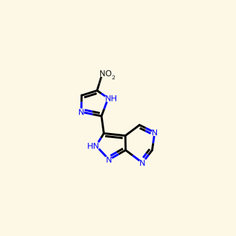 O=[N+]([O-])c1cnc(-c2[nH]nc3ncncc23)[nH]1